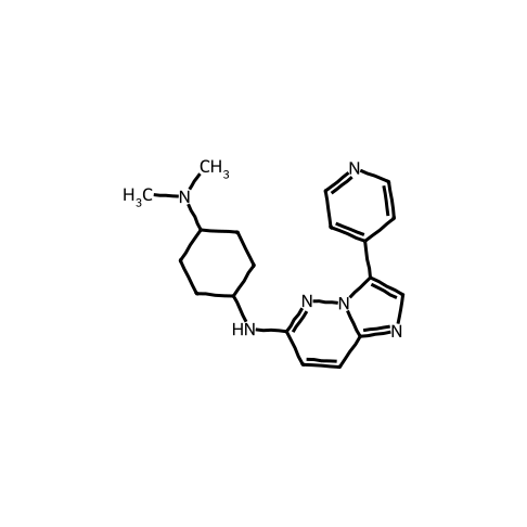 CN(C)C1CCC(Nc2ccc3ncc(-c4ccncc4)n3n2)CC1